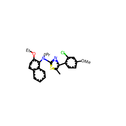 CCCN(c1nc(-c2ccc(OC)cc2Cl)c(C)s1)c1c(OCC)ccc2ccccc12